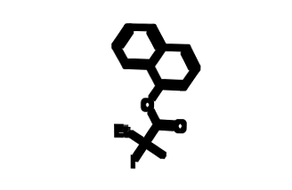 CCC(C)(I)C(=O)Oc1cccc2ccccc12